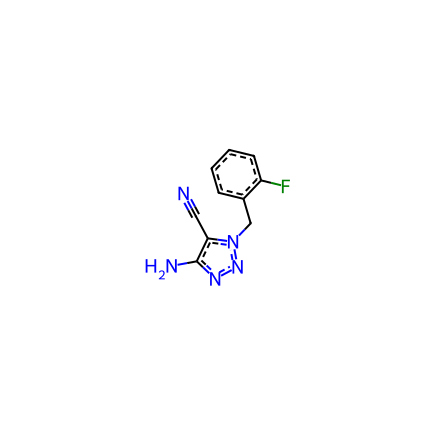 N#Cc1c(N)nnn1Cc1ccccc1F